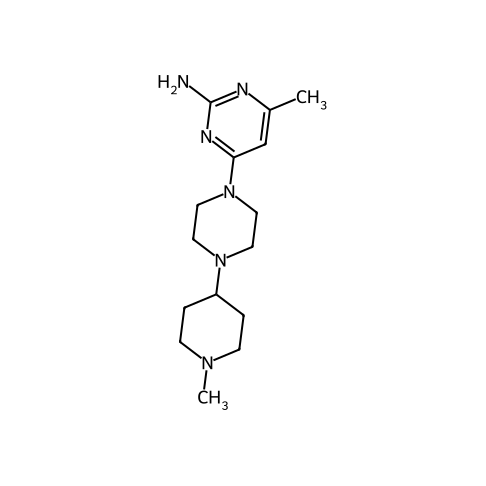 Cc1cc(N2CCN(C3CCN(C)CC3)CC2)nc(N)n1